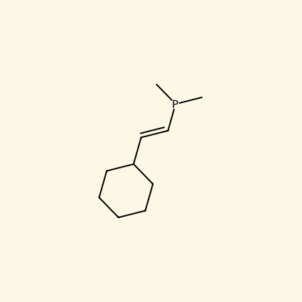 CP(C)/C=C/C1CCCCC1